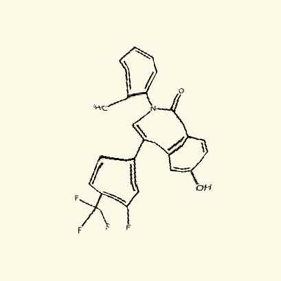 [CH]c1ccccc1-n1cc(-c2ccc(C(F)(F)F)c(F)c2)c2cc(O)ccc2c1=O